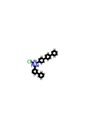 Clc1nc(C2=CCC(c3ccc(-c4ccccc4)cc3)C=C2)nc(-c2cccc(-c3ccccc3)c2)n1